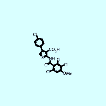 COc1cc(Cl)c(C(=O)Nc2scc(-c3ccc(Cl)cc3)c2C(=O)O)c(Cl)c1Cl